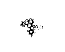 CCOC(=O)C1=C2CCOC(=O)N2C(c2nccs2)=NC1c1ccc(F)cc1Cl